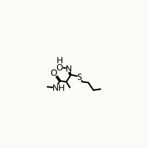 CCCCS/C(=N/O)C(C)C(=O)NC